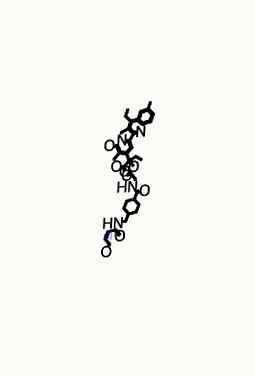 CCc1c2c(nc3ccc(C)cc13)-c1cc3c(c(=O)n1C2)COC(=O)C3(CC)OC(=O)CNC(=O)C1CCC(CNC(=O)/C=C\C=O)CC1